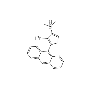 CC(C)C1=C(c2c3ccccc3cc3ccccc23)CC=C1[SiH](C)C